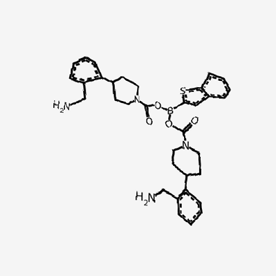 NCc1ccccc1C1CCN(C(=O)OB(OC(=O)N2CCC(c3ccccc3CN)CC2)c2cc3ccccc3s2)CC1